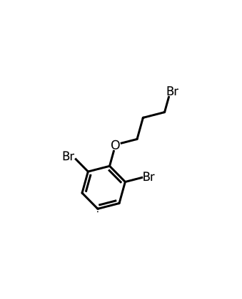 BrCCCOc1c(Br)c[c]cc1Br